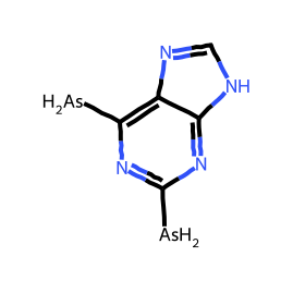 [AsH2]c1nc([AsH2])c2nc[nH]c2n1